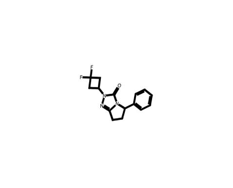 O=c1n(C2CC(F)(F)C2)nc2n1C(c1ccccc1)CC2